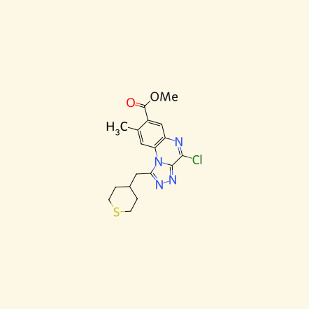 COC(=O)c1cc2nc(Cl)c3nnc(CC4CCSCC4)n3c2cc1C